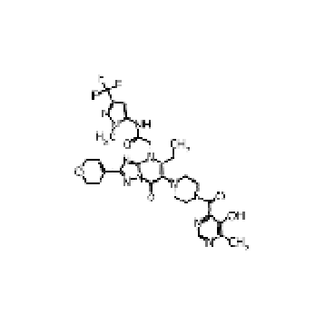 CCc1c(N2CCN(C(=O)c3ncnc(C)c3O)CC2)c(=O)n2nc(C3=CCOCC3)nc2n1CC(=O)Nc1cc(C(F)(F)F)nn1C